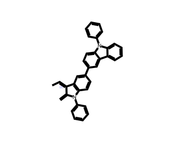 C=c1/c(=C\C)c2cc(-c3ccc4c(c3)c3ccccc3n4-c3ccccc3)ccc2n1-c1ccccc1